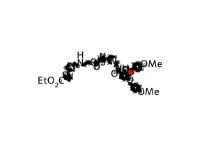 CCOC(=O)c1cnc([C@@H]2CCN(CCNCCCOC(=O)c3cnc([C@@H]4CCN(CCNC(=O)c5ccc(OCc6ccc(OC)cc6)c(OCc6ccc(OC)cc6)c5Cl)C4)s3)C2)s1